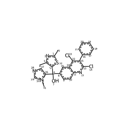 Cc1nc(C)c(C(O)(c2ccc3nc(Cl)c(-c4ccccc4)c(Cl)c3c2)c2cncn2C)s1